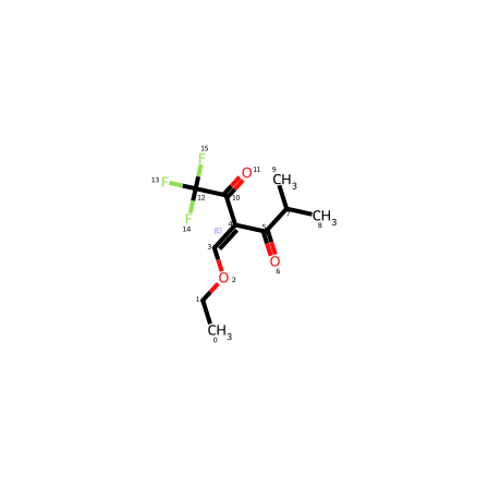 CCO/C=C(\C(=O)C(C)C)C(=O)C(F)(F)F